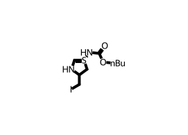 CCCCOC(=O)NS1=CNC(CI)C1